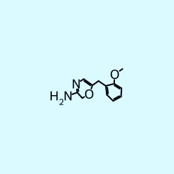 COc1ccccc1CC1=CN=C(N)CO1